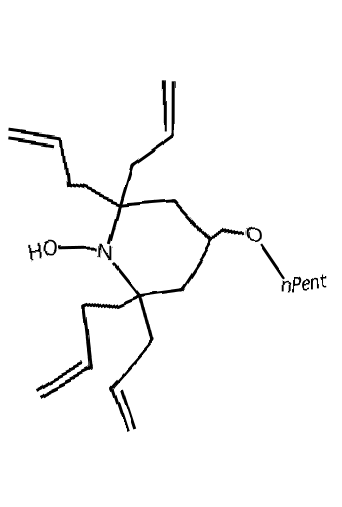 C=CCC1(CC=C)CC(OCCCCC)CC(CC=C)(CC=C)N1O